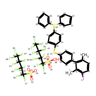 Cc1ccc(I)c(C)c1-c1ccc(Sc2ccc([S+](c3ccccc3)c3ccccc3)cc2)cc1.O=S(=O)(O)C(F)(F)C(F)(F)C(F)(F)C(F)(F)F.O=S(=O)([O-])C(F)(F)C(F)(F)C(F)(F)C(F)(F)F